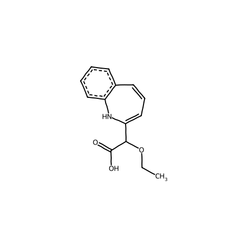 CCOC(C(=O)O)C1=CC=Cc2ccccc2N1